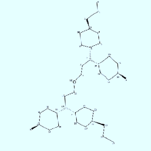 CCC[C@H]1CC[C@H](C(CCOCCC([C@H]2CC[C@H](C)CC2)[C@H]2CC[C@H](CCC)CC2)[C@H]2CC[C@H](C)CC2)CC1